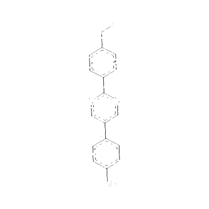 CCCCCCCCCCc1ccc(-c2cnc(-c3ccc(CCl)cc3)nc2)cc1